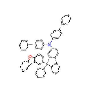 c1ccc(-c2ccc(N(c3ccc(-c4ccccc4)cc3)c3ccc4c(c3)C(c3ccccc3)(c3ccc5oc6ccccc6c5c3)c3ccccc3-4)cc2)cc1